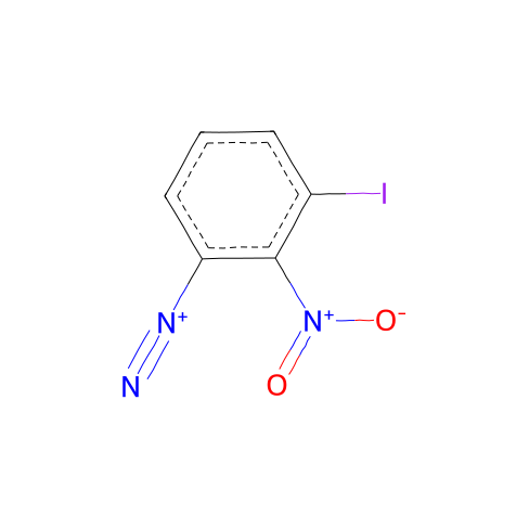 N#[N+]c1cccc(I)c1[N+](=O)[O-]